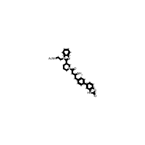 CC(=O)NCCn1c(C2CCCN(C(=O)CC(N)Cc3ccc(-c4ccc5oc(=O)[nH]c5c4)cc3)C2)nc2ccccc21